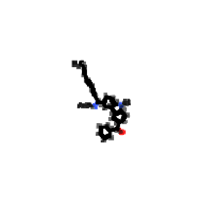 CC#CC#CC#CC(=NOC(C)=O)c1ccc2c(c1)c1cc(C(=O)c3ccccc3)ccc1n2CC